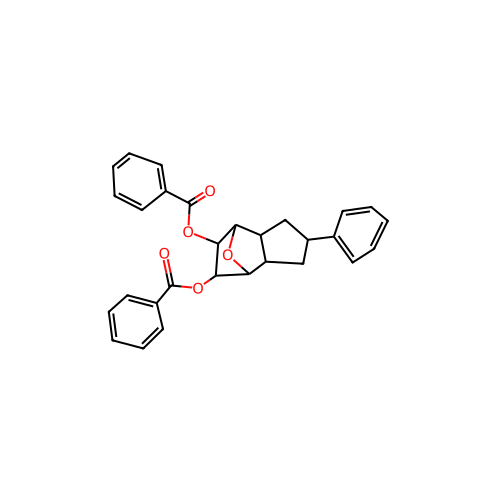 O=C(OC1C2OC(C3CC(c4ccccc4)CC32)C1OC(=O)c1ccccc1)c1ccccc1